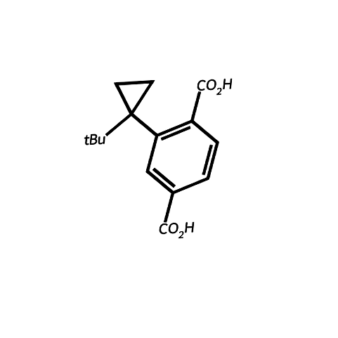 CC(C)(C)C1(c2cc(C(=O)O)ccc2C(=O)O)CC1